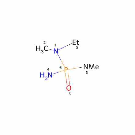 CCN(C)P(N)(=O)NC